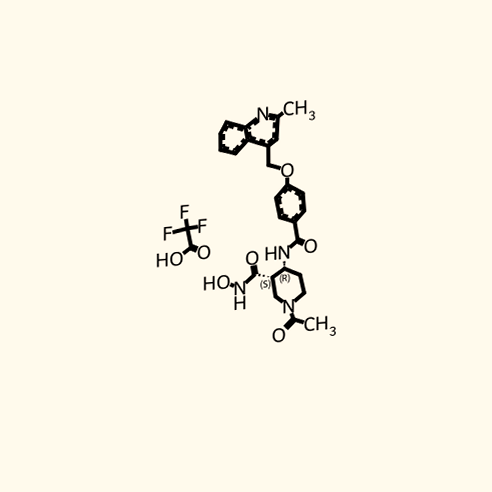 CC(=O)N1CC[C@@H](NC(=O)c2ccc(OCc3cc(C)nc4ccccc34)cc2)[C@@H](C(=O)NO)C1.O=C(O)C(F)(F)F